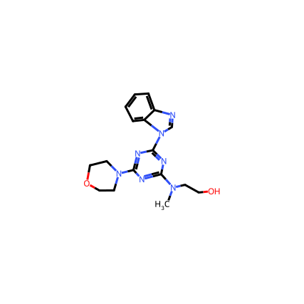 CN(CCO)c1nc(N2CCOCC2)nc(-n2cnc3ccccc32)n1